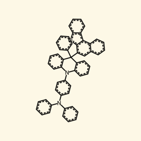 c1ccc(N(c2ccccc2)c2ccc(N3c4ccccc4C(c4ccccc4)(c4cc5ccccc5c5c4oc4ccccc45)c4ccccc43)cc2)cc1